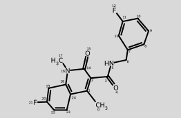 Cc1c(C(=O)NCc2cccc(F)c2)c(=O)n(C)c2cc(F)ccc12